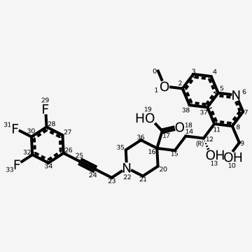 COc1ccc2ncc(CO)c([C@H](O)CCC3(C(=O)O)CCN(CC#Cc4cc(F)c(F)c(F)c4)CC3)c2c1